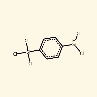 Cl[SiH](Cl)c1ccc([Si](Cl)(Cl)Cl)cc1